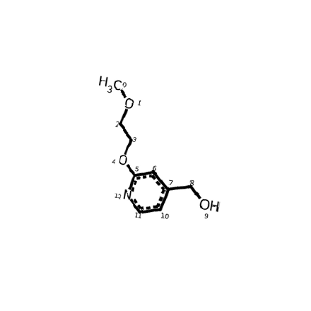 COCCOc1cc(CO)ccn1